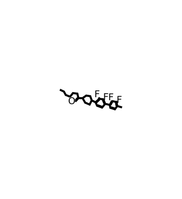 CCCC1CCC(C2CCC(c3ccc(-c4ccc(C)c(F)c4F)c(F)c3F)CC2)=CO1